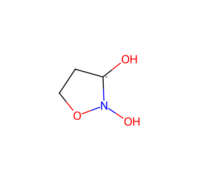 O[C]1CCON1O